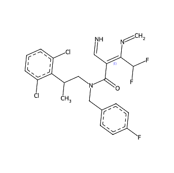 C=N/C(=C(\C=N)C(=O)N(Cc1ccc(F)cc1)CC(C)c1c(Cl)cccc1Cl)C(F)F